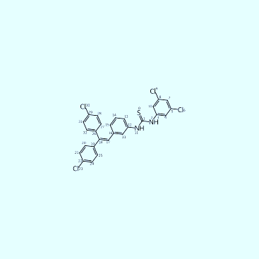 S=C(Nc1cc(Cl)cc(Cl)c1)Nc1cccc(C=C(c2ccc(Cl)cc2)c2ccc(Cl)cc2)c1